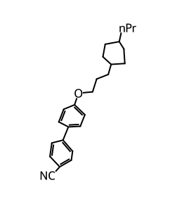 CCCC1CCC(CCCOc2ccc(-c3ccc(C#N)cc3)cc2)CC1